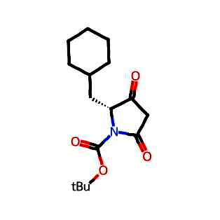 CC(C)(C)OC(=O)N1C(=O)CC(=O)[C@H]1CC1CCCCC1